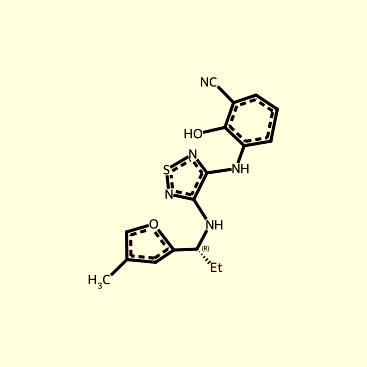 CC[C@@H](Nc1nsnc1Nc1cccc(C#N)c1O)c1cc(C)co1